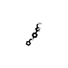 OCc1cc(-c2ccc(OCC3CCCC3)cc2)no1